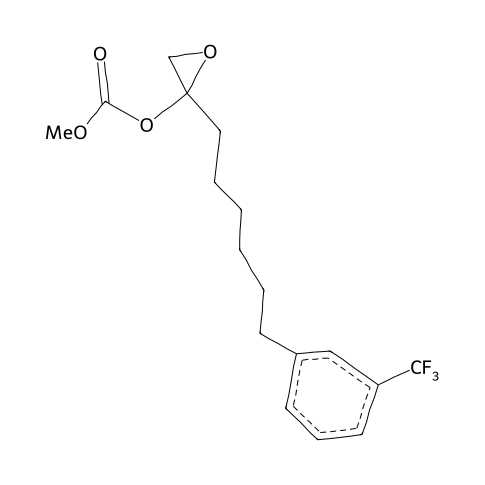 COC(=O)OC1(CCCCCCc2cccc(C(F)(F)F)c2)CO1